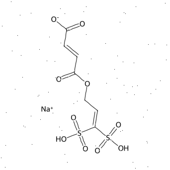 O=C([O-])C=CC(=O)OCC=C(S(=O)(=O)O)S(=O)(=O)O.[Na+]